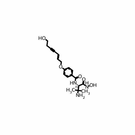 CC(C)(N)[C@H](NC(=O)c1ccc(OCC=CC#CCCO)cc1)C(=O)NO